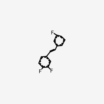 Fc1cccc(C=Cc2ccc(F)c(F)c2)c1